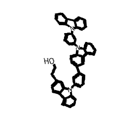 OCCc1ccc2c3ccccc3n(-c3cccc(-c4ccc5c(c4)c4ccccc4n5-c4cccc(-n5c6ccccc6c6ccccc65)c4)c3)c2c1